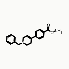 COC(=O)c1ccc(C2=CCN(Cc3ccccc3)CC2)cc1